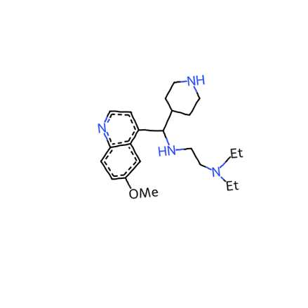 CCN(CC)CCNC(c1ccnc2ccc(OC)cc12)C1CCNCC1